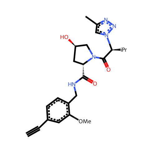 C#Cc1ccc(CNC(=O)[C@@H]2C[C@@H](O)CN2C(=O)[C@H](C(C)C)n2cc(C)nn2)c(OC)c1